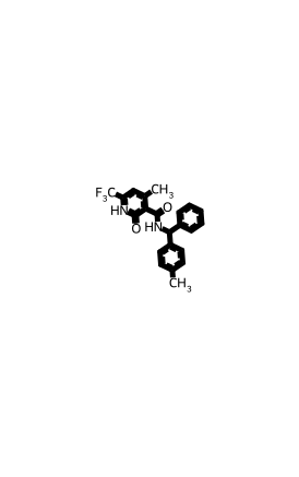 Cc1ccc(C(NC(=O)c2c(C)cc(C(F)(F)F)[nH]c2=O)c2ccccc2)cc1